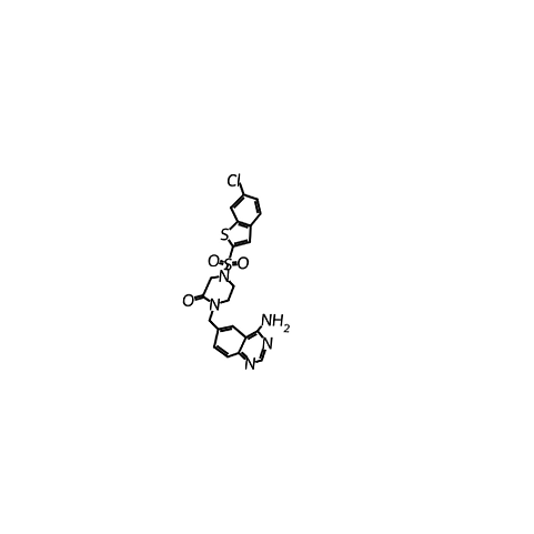 Nc1ncnc2ccc(CN3CCN(S(=O)(=O)c4cc5ccc(Cl)cc5s4)CC3=O)cc12